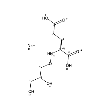 O=C(O)CC[C@H](NOCC(O)CO)C(=O)O.[NaH]